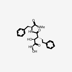 CNC(=O)[C@H](Cc1ccccc1)NC(=O)[C@H](CCc1ccccc1)[C@H](O)C(=O)NO